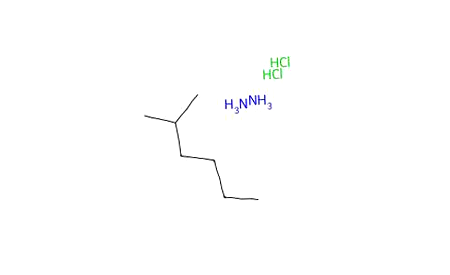 CCCCC(C)C.Cl.Cl.N.N